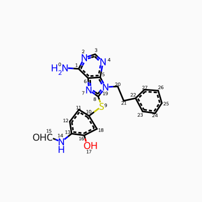 Nc1ncnc2c1nc(Sc1ccc(NC=O)c(O)c1)n2CCc1ccccc1